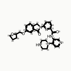 O=C(Nc1cnccc1N1CCNCC1)c1cccc(N2Cc3ccc(OCC4CCCO4)cc3C2=O)n1